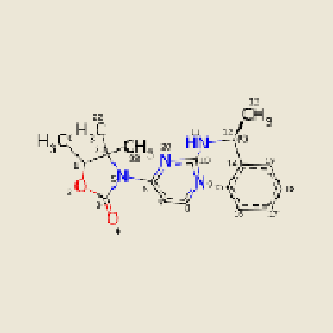 CC1OC(=O)N(c2ccnc(N[C@@H](C)c3ccccc3)n2)C1(C)C